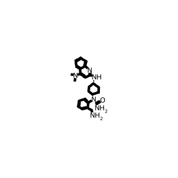 CN(C)c1cc(N[C@H]2CC[C@@H](N(C(N)=O)c3ccccc3CN)CC2)nc2ccccc12